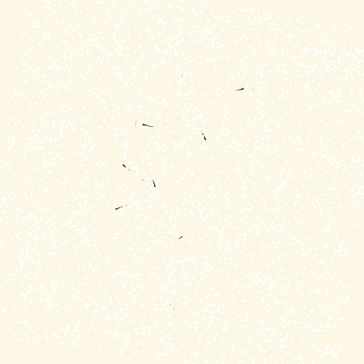 CC[C@]1(O)CC[C@@]2(C)[C@@H](CC[C@@H]3[C@@H]2CC[C@]2(C)[C@@H]([C@H](C)CC[C@@H](O)C(C)(C)C#N)CC[C@@H]32)C1